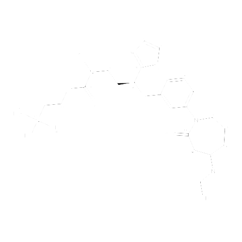 CCNC1CCCN(c2cccc(O[C@@H](CCN(C)C(=O)OCC[Si](C)(C)C)c3cccs3)c2)C(=O)C1